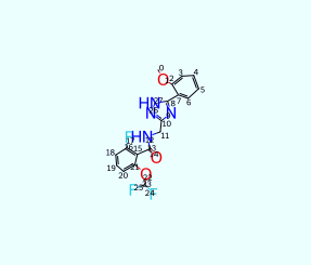 COc1ccccc1-c1nc(CNC(=O)c2c(F)cccc2OC(F)F)n[nH]1